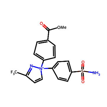 COC(=O)c1ccc([N+]2(c3ccc(S(N)(=O)=O)cc3)C=CC(C(F)(F)F)=N2)cc1